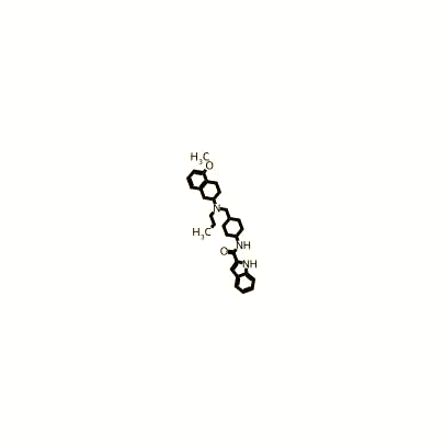 CCCN(CC1CCC(NC(=O)c2cc3ccccc3[nH]2)CC1)C1CCc2c(cccc2OC)C1